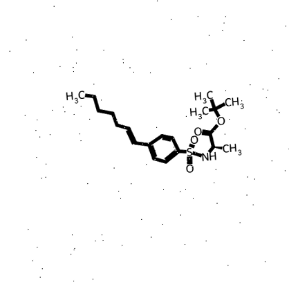 CCCCC/C=C/c1ccc(S(=O)(=O)N[C@H](C)C(=O)OC(C)(C)C)cc1